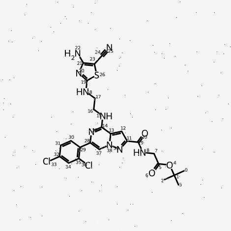 CC(C)(C)OC(=O)CNC(=O)c1cc2c(NCCNc3nc(N)c(C#N)s3)nc(-c3ccc(Cl)cc3Cl)cn2n1